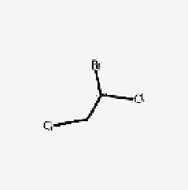 ClC[C](Cl)Br